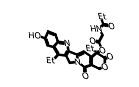 CCC(=O)NCC(=O)O[C@]1(CC)C(=O)OCc2c1cc1n(c2=O)Cc2c-1nc1ccc(O)cc1c2CC